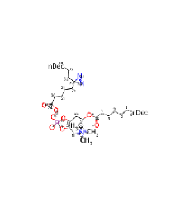 CCCCCCCCCCCCCCCC(=O)OCCCOP(=O)(OCC[N+](C)(C)C)OOC(=O)CCCCC1(CCCCCCCCCCCC)N=N1